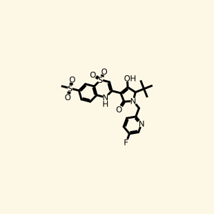 CC(C)(C)C1C(O)=C(C2=CS(=O)(=O)c3cc(S(C)(=O)=O)ccc3N2)C(=O)N1Cc1ccc(F)cn1